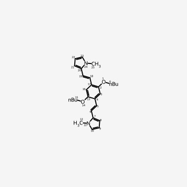 CCCCOc1cc(C=Cc2cccn2C)c(OCCCC)cc1C=Cc1cccn1C